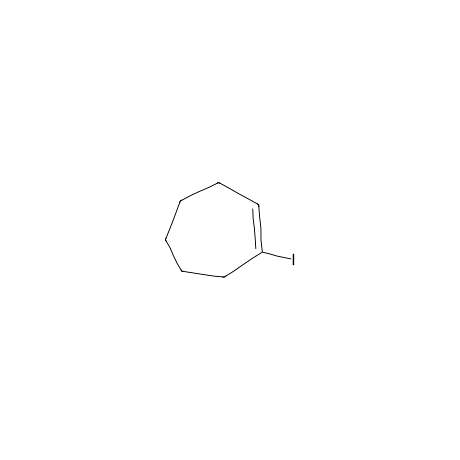 IC1=CCCCCC1